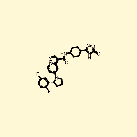 O=C(NC1CCC(c2noc(=O)[nH]2)CC1)c1cnn2ccc(N3CCC[C@@H]3c3cc(F)ccc3F)cc12